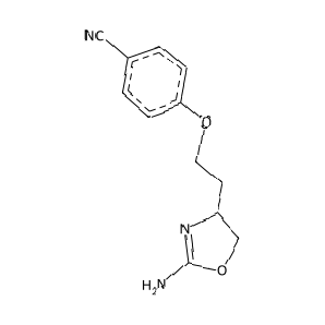 N#Cc1ccc(OCCC2COC(N)=N2)cc1